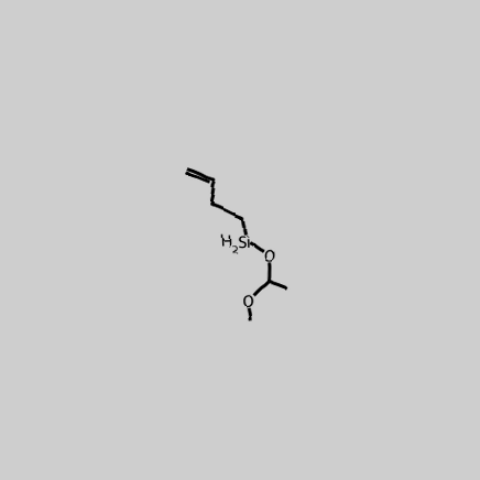 C=CCC[SiH2]OC(C)OC